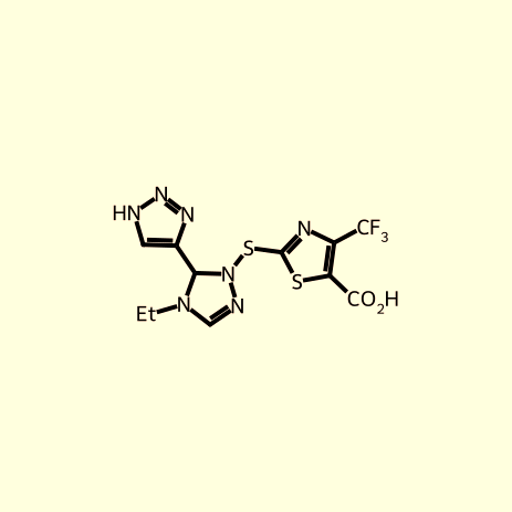 CCN1C=NN(Sc2nc(C(F)(F)F)c(C(=O)O)s2)C1c1c[nH]nn1